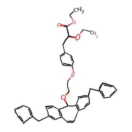 CCOC(=O)C(Cc1ccc(OCCOC2c3ccc(Cc4ccccc4)cc3C=Cc3ccc(Cc4ccccc4)cc32)cc1)OCC